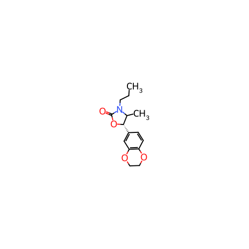 CCCN1C(=O)O[C@@H](c2ccc3c(c2)OCCO3)C1C